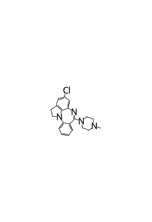 CN1CCN(C2=Nc3cc(Cl)cc4c3N(CC4)c3ccccc32)CC1